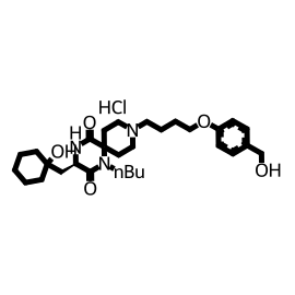 CCCCN1C(=O)[C@@H](CC2(O)CCCCC2)NC(=O)C12CCN(CCCCOc1ccc(CO)cc1)CC2.Cl